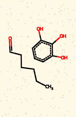 CCCCCC=O.Oc1cccc(O)c1O